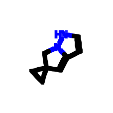 C1=CC2=CC3(CC3)CN2N1